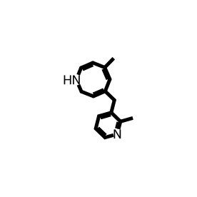 CC1=C/C(Cc2cccnc2C)=C\CN/C=C\1